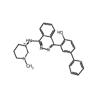 CN1CCC[C@@H](Nc2nnc(-c3cc(-c4ccccc4)ccc3O)c3ccccc23)C1